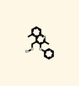 CCOCc1c(Oc2ccccc2)c(C)nc2cccc(C)c12